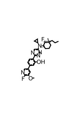 CCC[C@]1(C)CCC[C@H](N(c2cnc(-c3ccc(-c4cnc(F)c(OC)c4)cc3O)nn2)C2CC2)[C@@H]1F